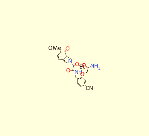 CCOC(C(=O)NCc1ccc(C#N)cc1OCC(N)=O)N1C=C2C=CC(OC)C(=O)C2C1